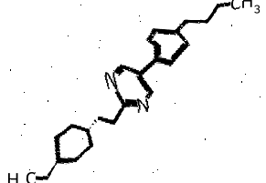 CCCCc1ccc(-c2cnc(CC[C@H]3CC[C@H](CC)CC3)nc2)cc1